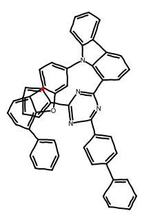 c1ccc(-c2ccc(-c3nc(-c4ccccc4)nc(-c4cccc5c6ccccc6n(-c6ccc7c(c6)oc6c(-c8ccccc8)cccc67)c45)n3)cc2)cc1